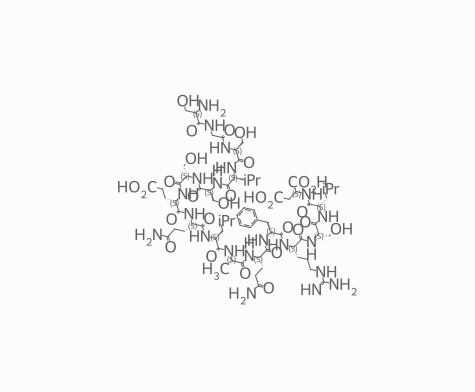 CC(C)C[C@H](NC(=O)[C@H](CCC(N)=O)NC(=O)[C@H](CCC(=O)O)NC(=O)[C@H](CO)NC(=O)[C@H](CO)NC(=O)[C@@H](NC(=O)[C@H](CO)NC(=O)CNC(=O)[C@@H](N)CO)C(C)C)C(=O)N[C@@H](C)C(=O)N[C@@H](CCC(N)=O)C(=O)N[C@@H](Cc1ccccc1)C(=O)N[C@@H](CCCNC(=N)N)C(=O)N[C@@H](CO)C(=O)N[C@@H](CC(C)C)C(=O)N[C@@H](CC(=O)O)C(=O)O